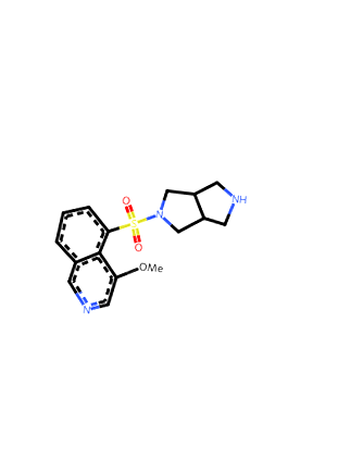 COc1cncc2cccc(S(=O)(=O)N3CC4CNCC4C3)c12